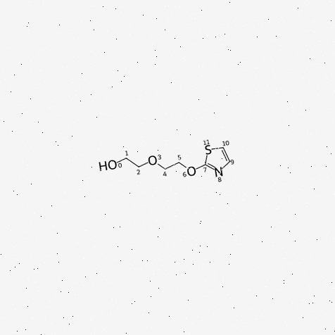 OCCOCCOc1nccs1